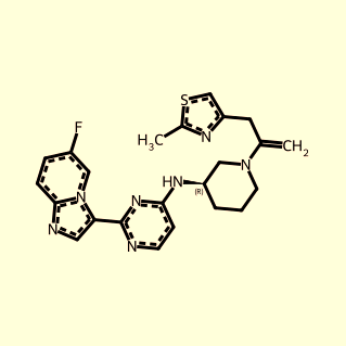 C=C(Cc1csc(C)n1)N1CCC[C@@H](Nc2ccnc(-c3cnc4ccc(F)cn34)n2)C1